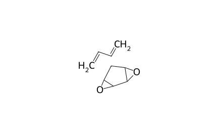 C1C2OC2C2OC12.C=CC=C